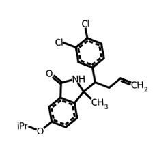 C=CCC(c1ccc(Cl)c(Cl)c1)C1(C)NC(=O)c2cc(OC(C)C)ccc21